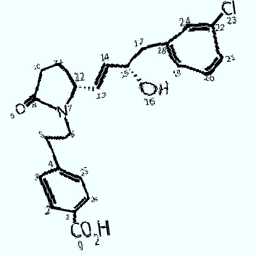 O=C(O)c1ccc(CCN2C(=O)CC[C@@H]2/C=C/[C@@H](O)Cc2cccc(Cl)c2)cc1